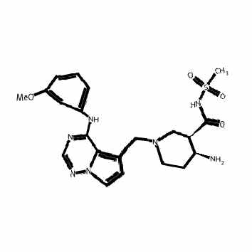 COc1cccc(Nc2ncnn3ccc(CN4CC[C@H](N)[C@H](C(=O)NS(C)(=O)=O)C4)c23)c1